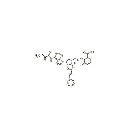 CCNC(=O)Nc1ncnc2c1ncn2C1CC(COCc2c(F)cccc2C(=O)O)[C@H]2O[C@@H](C=Cc3ccccc3)OC12